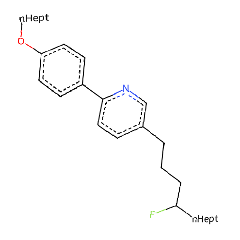 CCCCCCCOc1ccc(-c2ccc(CCCC(F)CCCCCCC)cn2)cc1